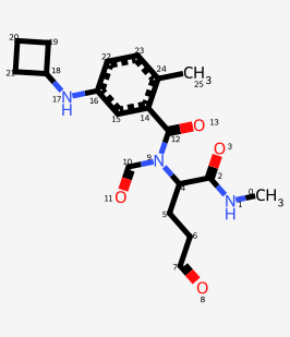 CNC(=O)C(CCC=O)N(C=O)C(=O)c1cc(NC2CCC2)ccc1C